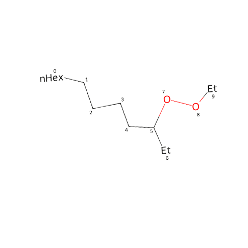 CCCCCCCCCCC(CC)OOCC